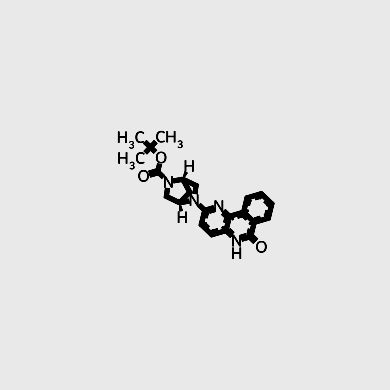 CC(C)(C)OC(=O)N1C[C@@H]2C[C@H]1CN2c1ccc2[nH]c(=O)c3ccccc3c2n1